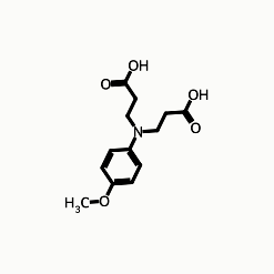 COc1ccc(N(CCC(=O)O)CCC(=O)O)cc1